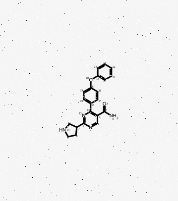 NC(=O)c1cnc(C2CCNC2)nc1-c1ccc(Oc2ccccc2)cc1